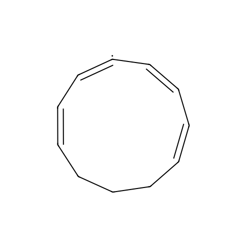 [C]1=C\C=C/CCC/C=C\C=C/1